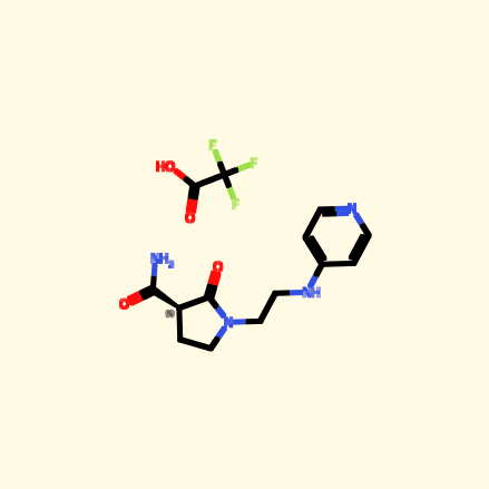 NC(=O)[C@@H]1CCN(CCNc2ccncc2)C1=O.O=C(O)C(F)(F)F